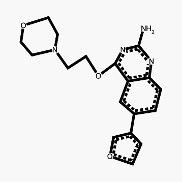 Nc1nc(OCCN2CCOCC2)c2cc(-c3ccoc3)ccc2n1